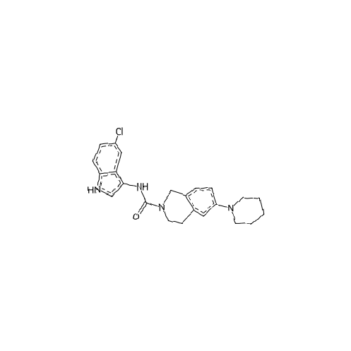 O=C(Nc1c[nH]c2ccc(Cl)cc12)N1CCc2cc(N3CCCCC3)ccc2C1